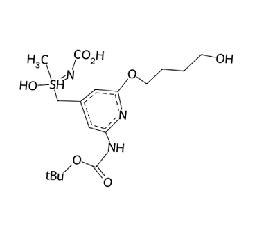 CC(C)(C)OC(=O)Nc1cc(C[SH](C)(O)=NC(=O)O)cc(OCCCCO)n1